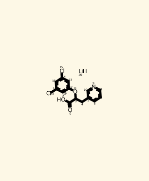 O=C(O)C(Cc1cccnc1)Oc1cc(Cl)cc(Cl)c1.[LiH]